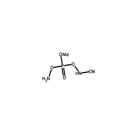 COP(=O)(ON)ONC#N